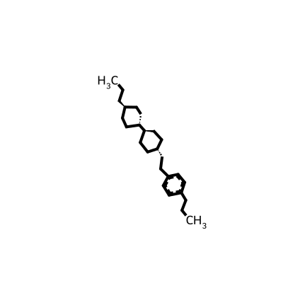 CCCc1ccc(CC[C@H]2CC[C@H]([C@H]3CC[C@H](CCC)CC3)CC2)cc1